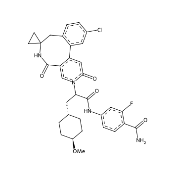 CO[C@H]1CC[C@H](CC(C(=O)Nc2ccc(C(N)=O)c(F)c2)n2cc3c(cc2=O)-c2cc(Cl)ccc2CC2(CC2)NC3=O)CC1